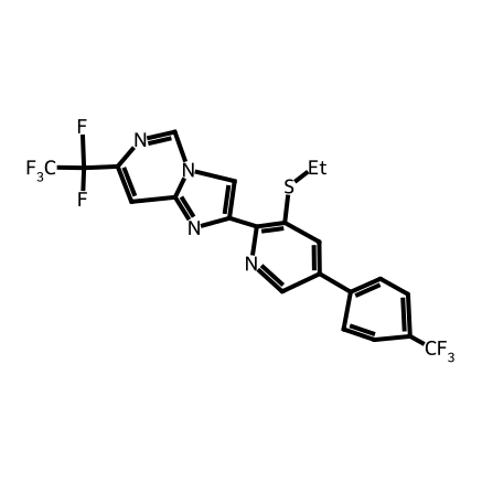 CCSc1cc(-c2ccc(C(F)(F)F)cc2)cnc1-c1cn2cnc(C(F)(F)C(F)(F)F)cc2n1